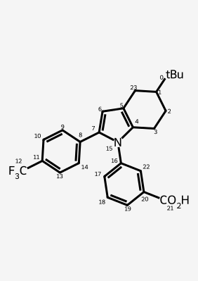 CC(C)(C)C1CCc2c(cc(-c3ccc(C(F)(F)F)cc3)n2-c2cccc(C(=O)O)c2)C1